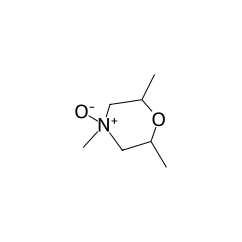 CC1C[N+](C)([O-])CC(C)O1